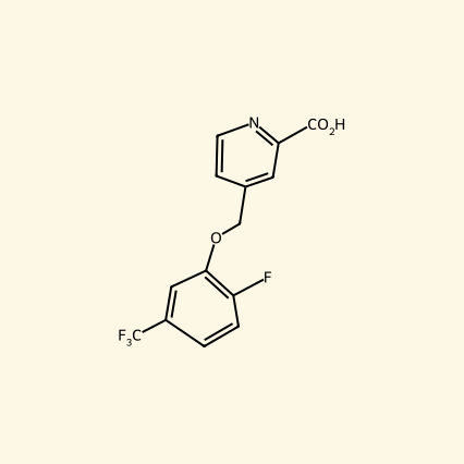 O=C(O)c1cc(COc2cc(C(F)(F)F)ccc2F)ccn1